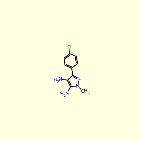 Cn1nc(-c2ccc(Cl)cc2)c(N)c1N